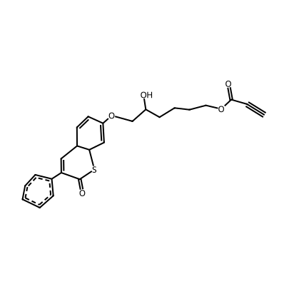 C#CC(=O)OCCCCC(O)COC1=CC2SC(=O)C(c3ccccc3)=CC2C=C1